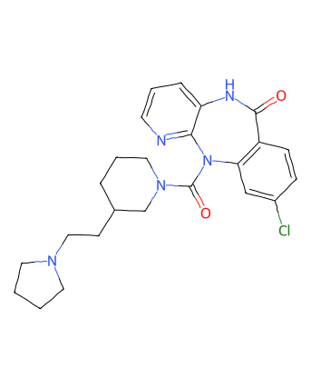 O=C1Nc2cccnc2N(C(=O)N2CCCC(CCN3CCCC3)C2)c2cc(Cl)ccc21